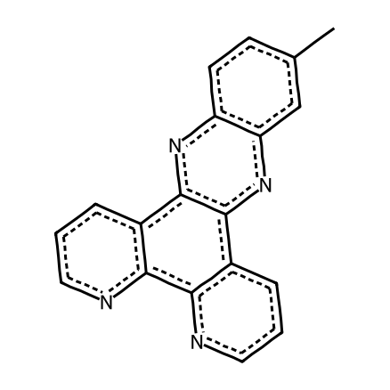 Cc1ccc2nc3c4cccnc4c4ncccc4c3nc2c1